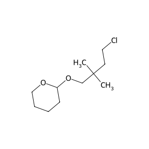 CC(C)(CCCl)COC1CCCCO1